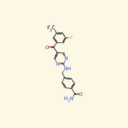 NC(=O)c1ccc(CNc2ncc(C(=O)c3cc(F)cc(C(F)(F)F)c3)cn2)cc1